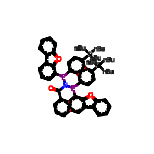 CCCC[Si](CCCC)(CCCC)c1ccc(P(c2cccc3c2oc2ccccc23)N(C(=O)c2ccccc2)P(c2ccc([Si](CCCC)(CCCC)CCCC)cc2)c2cccc3c2oc2ccccc23)cc1